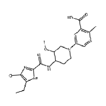 CCc1[nH]c(C(=O)NC2CCN(c3cnc(C)c(C(=O)O)c3)CC2OC)nc1Cl